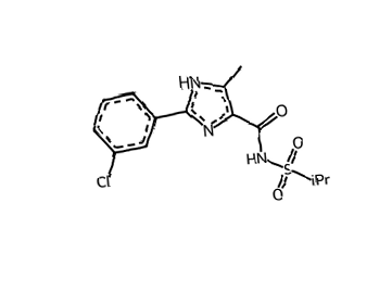 Cc1[nH]c(-c2cccc(Cl)c2)nc1C(=O)NS(=O)(=O)C(C)C